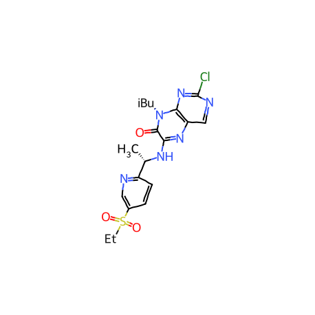 CC[C@@H](C)n1c(=O)c(N[C@@H](C)c2ccc(S(=O)(=O)CC)cn2)nc2cnc(Cl)nc21